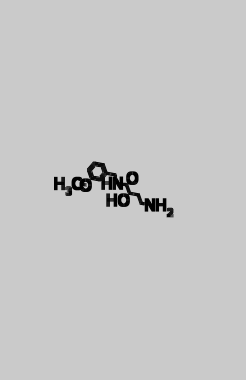 COc1cccc(CNC(=O)C(O)CCN)c1